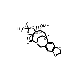 CO[C@H]1C[C@@H]2CCN(Cc3cc4c(cc32)OCO4)C(=O)[C@@H]2OC(C)(C)O[C@@H]12